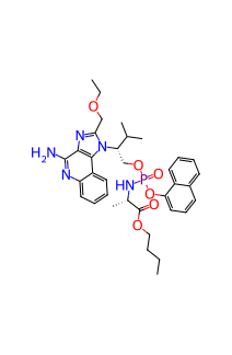 CCCCOC(=O)[C@H](C)NP(=O)(OC[C@@H](C(C)C)n1c(COCC)nc2c(N)nc3ccccc3c21)Oc1cccc2ccccc12